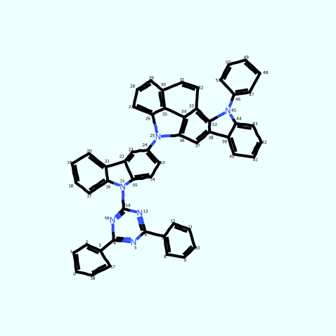 c1ccc(-c2nc(-c3ccccc3)nc(-n3c4ccccc4c4cc(-n5c6cccc7ccc8c(c76)c5cc5c6ccccc6n(-c6ccccc6)c58)ccc43)n2)cc1